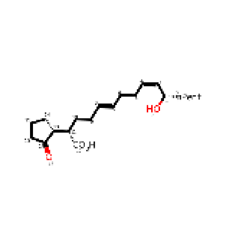 CCCCC[C@H](O)/C=C\CC/C=C/CC[C@H](C(=O)O)[C@H]1CCCC1=O